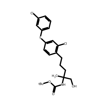 CC(CO)(CCCc1ccc(Sc2cccc(Cl)c2)cc1Cl)NC(=O)OC(C)(C)C